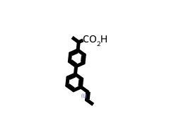 C/C=C/c1cccc(-c2ccc(C(C)C(=O)O)cc2)c1